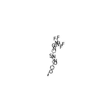 C#CCOc1ccc(C2CC(c3csc(C4CCN(C(=O)Cn5nc(C(F)F)cc5C(F)F)CC4)n3)=NO2)cc1